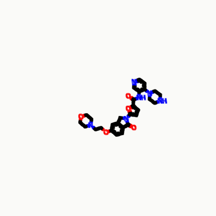 O=C(Nc1cnccc1N1CCNCC1)c1ccc(N2Cc3cc(OCCN4CCOCC4)ccc3C2=O)o1